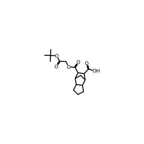 CC(C)(C)OC(=O)COC(=O)C1C2CC(C3CCCC32)C1C(=O)O